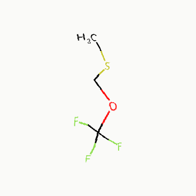 CSCOC(F)(F)F